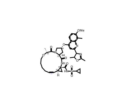 COc1ccc2c(O[C@@H]3C[C@H]4C(=O)N[C@]5(C(=O)NS(=O)(=O)C6CC6)C[C@H]5/C=C\CCCCO[C@H](C)C(=O)N4C3)cc(C3N=C(C)OC3C)nc2c1C